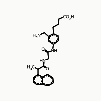 CC(C(=O)NCC(=O)Nc1ccc(CCCC(=O)O)c(CN)c1)c1cccc2ccccc12